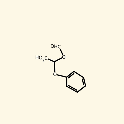 O=COC(Oc1ccccc1)C(=O)O